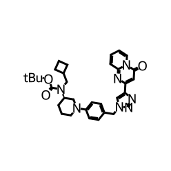 CC(C)(C)OC(=O)N(CC1CCC1)[C@@H]1CCCN(c2ccc(Cn3cc(-c4cc(=O)n5ccccc5n4)nn3)cc2)C1